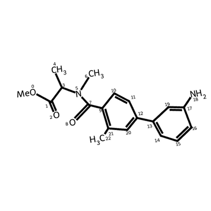 COC(=O)C(C)N(C)C(=O)c1ccc(-c2cccc(N)c2)cc1C